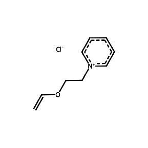 C=COCC[n+]1ccccc1.[Cl-]